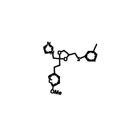 COc1ccc(CCC2(Cn3ccnc3)OCC(CSc3cccc(C)c3)O2)cc1